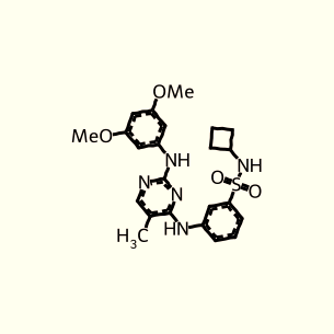 COc1cc(Nc2ncc(C)c(Nc3cccc(S(=O)(=O)NC4CCC4)c3)n2)cc(OC)c1